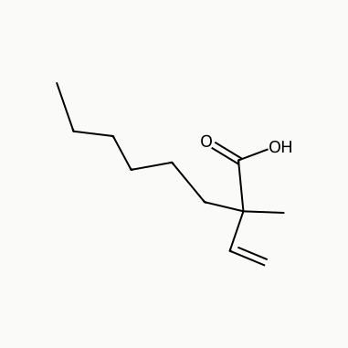 C=CC(C)(CCCCCC)C(=O)O